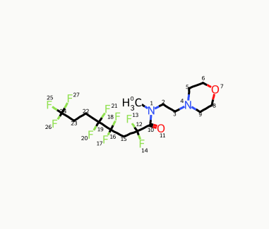 CN(CCN1CCOCC1)C(=O)C(F)(F)CC(F)(F)C(F)(F)CCC(F)(F)F